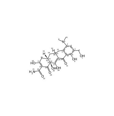 CN(C)c1cc(CO)c(O)c2c1C[C@H]1C[C@H]3CC(O)=C(C(N)=O)C(=O)[C@@]3(O)C(O)=C1C2=O